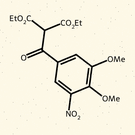 CCOC(=O)C(C(=O)OCC)C(=O)c1cc(OC)c(OC)c([N+](=O)[O-])c1